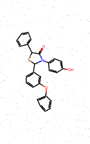 O=C1C(c2ccccc2)SC(c2cccc(Oc3ccccc3)c2)N1c1ccc(O)cc1